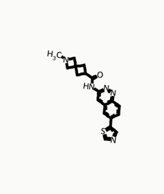 CN1CC2(CC(C(=O)Nc3cc4cc(-c5cncs5)ccc4nn3)C2)C1